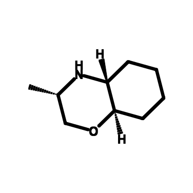 C[C@H]1CO[C@@H]2CCCC[C@H]2N1